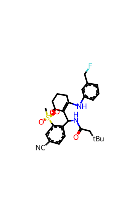 CC(C)(C)CC(=O)NC(C1=C(Nc2cccc(CF)c2)CCCC1=O)c1ccc(C#N)cc1S(C)(=O)=O